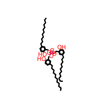 CCCCCCCCCCCCc1ccc(O)c(COP(=O)(OCc2cc(CCCCCCCCCCCC)ccc2O)OCc2cc(CCCCCCCCCCCC)ccc2O)c1